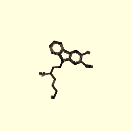 COc1cc2c(cc1Br)c1ccccc1n2CCC(C)CCCC(C)C